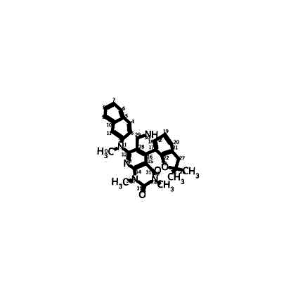 CN(c1ccc2ccccc2c1)c1nc2c(c(-c3cccc4c3OC(C)(C)C4)c1CN)c(=O)n(C)c(=O)n2C